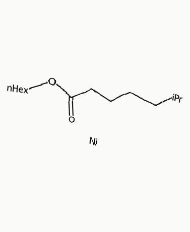 CCCCCCOC(=O)CCCCC(C)C.[Ni]